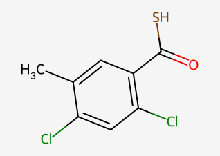 Cc1cc(C(=O)S)c(Cl)cc1Cl